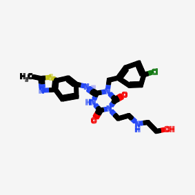 Cc1nc2ccc(/N=c3\[nH]c(=O)n(CCNCCO)c(=O)n3Cc3ccc(Cl)cc3)cc2s1